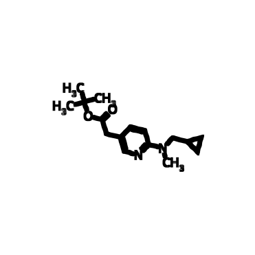 CN(CC1CC1)c1ccc(CC(=O)OC(C)(C)C)cn1